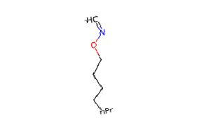 [CH]=NOCCCCCCC